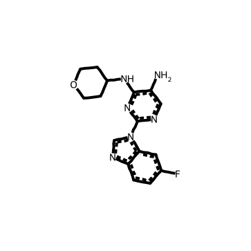 Nc1cnc(-n2cnc3ccc(F)cc32)nc1NC1CCOCC1